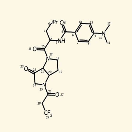 CC(C)CC(NC(=O)c1ccc(N(C)C)cc1)C(=O)N1CCC2C1C(=O)CN2C(=O)CC(F)(F)F